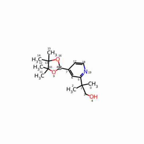 CC(C)(CO)c1cc(B2OC(C)(C)C(C)(C)O2)ccn1